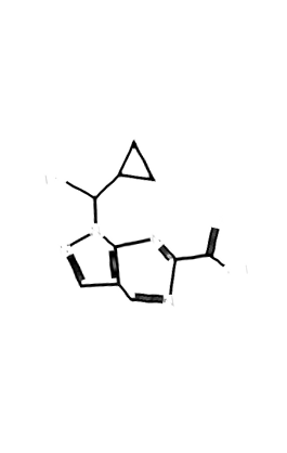 CC(C1CC1)n1ncc2cnc(C(=O)O)nc21